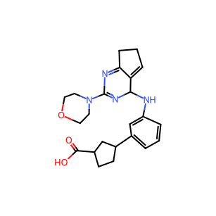 O=C(O)C1CCC(c2cccc(NC3N=C(N4CCOCC4)N=C4CCC=C43)c2)C1